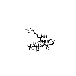 CNC(CCCCN)C(=O)NC(CONC(=O)OC(C)(C)C)C(=O)N1CCOCC1